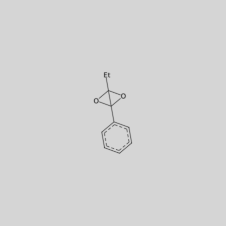 CCC12OC1(c1ccccc1)O2